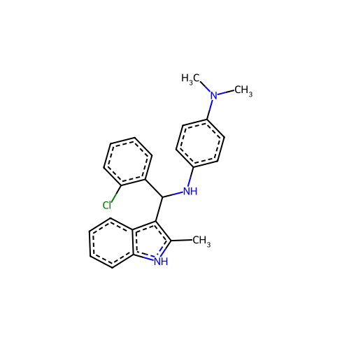 Cc1[nH]c2ccccc2c1C(Nc1ccc(N(C)C)cc1)c1ccccc1Cl